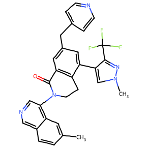 Cc1ccc2cncc(N3CCc4c(cc(Cc5ccncc5)cc4-c4cn(C)nc4C(F)(F)F)C3=O)c2c1